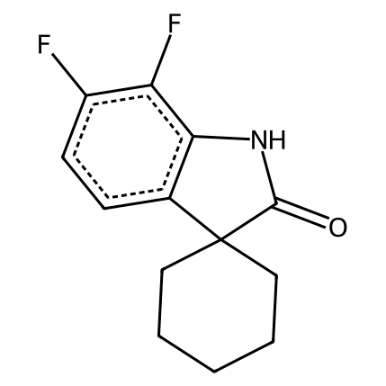 O=C1Nc2c(ccc(F)c2F)C12CCCCC2